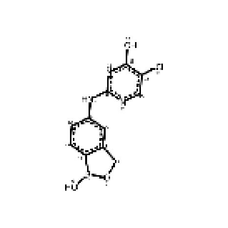 OB1OCc2cc(Nc3ncc(Cl)c(O)n3)ccc21